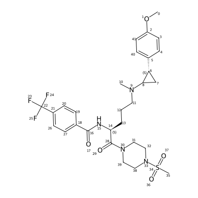 COc1ccc([C@@H]2CC2N(C)CCC[C@H](NC(=O)c2ccc(C(F)(F)F)cc2)C(=O)N2CCN(S(C)(=O)=O)CC2)cc1